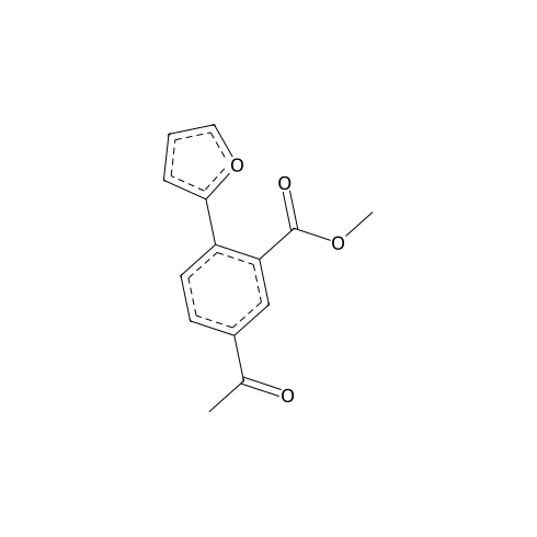 COC(=O)c1cc(C(C)=O)ccc1-c1ccco1